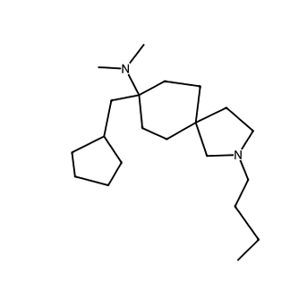 CCCCN1CCC2(CCC(CC3CCCC3)(N(C)C)CC2)C1